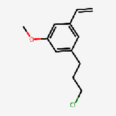 C=Cc1cc(CCCCl)cc(OC)c1